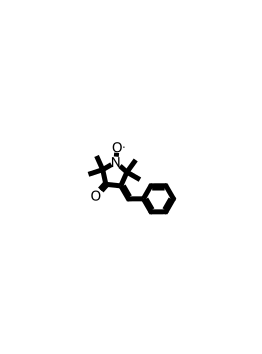 CC1(C)C(=O)C(=Cc2ccccc2)C(C)(C)N1[O]